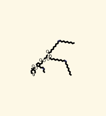 CC/C=C\CC1C(CC(=O)OCC(COC(=O)CCCCCCC/C=C\CCCCCCCC)OC(=O)CCCCCCC/C=C\CCCCCCCC)CCC1OC(=O)C1(C)CCN(C)CC1